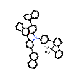 CC1(C)c2ccccc2-c2cccc(-c3ccc(N(c4ccc(-c5cccc6ccccc56)cc4)c4cc(-c5ccc6ccccc6c5)ccc4-c4ccc5ccccc5c4)cc3)c21